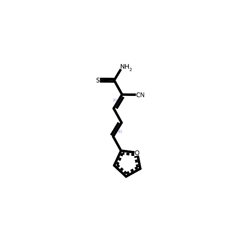 N#C/C(=C\C=C\c1ccco1)C(N)=S